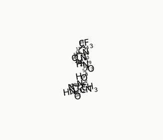 C[C@@H](COCCC(=O)N1CCN2c3ncc(C(F)(F)F)cc3COC[C@H]2C1)Nc1cn[nH]c(=O)c1C#N